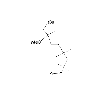 COC(C)(CCC(C)(C)CC(C)(C)OC(C)C)CC(C)(C)C